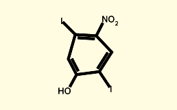 O=[N+]([O-])c1cc(I)c(O)cc1I